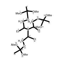 CCC([SiH2]OC(C)(OC)OC)N(C(CC)[SiH2]OC(C)(OC)OC)C(CC)[SiH2]OC(C)(OC)OC